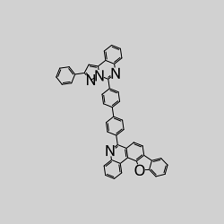 c1ccc(-c2cc3c4ccccc4nc(-c4ccc(-c5ccc(-c6nc7ccccc7c7c6ccc6c8ccccc8oc67)cc5)cc4)n3n2)cc1